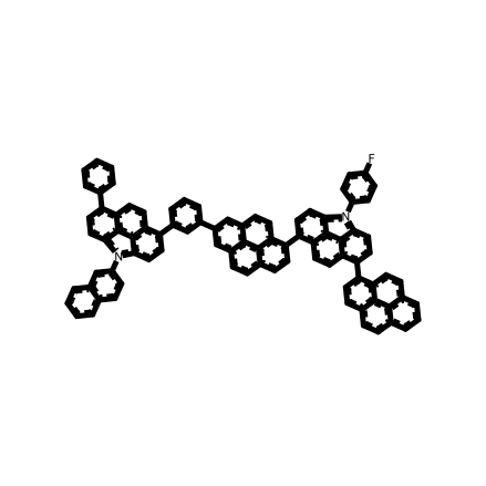 Fc1ccc(-n2c3ccc(-c4ccc5ccc6cccc7ccc4c5c67)c4ccc5c(-c6ccc7ccc8cc(-c9cccc(-c%10ccc%11c%12c%10ccc%10c(-c%13ccccc%13)ccc(c%10%12)n%11-c%10ccc%11ccccc%11c%10)c9)cc9ccc6c7c89)ccc2c5c43)cc1